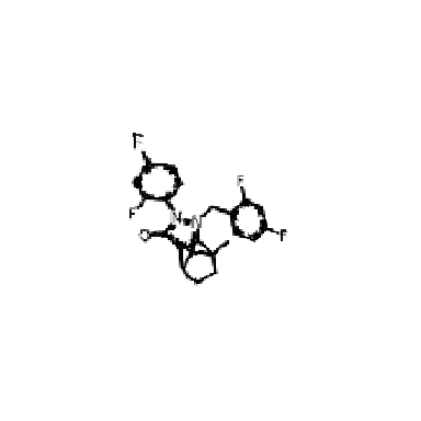 CC12CCC(c3c1n(Cc1ccc(F)cc1F)n(-c1ccc(F)cc1F)c3=O)C2(C)C